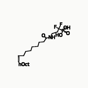 CCCCCCCC/C=C\CCCCCCCC(=O)NCCC(F)(F)P(=O)(O)O